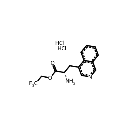 Cl.Cl.N[C@@H](Cc1cncc2ccccc12)C(=O)OCC(F)(F)F